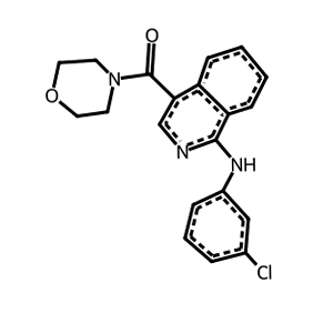 O=C(c1cnc(Nc2cccc(Cl)c2)c2ccccc12)N1CCOCC1